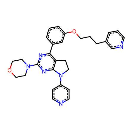 c1cncc(CCCOc2cccc(-c3nc(N4CCOCC4)nc4c3CCN4c3ccncc3)c2)c1